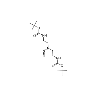 CC(C)(C)OC(=O)NCCN(CCNC(=O)OC(C)(C)C)N=O